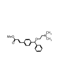 COC(=O)C=Cc1ccc(C(OCCN(C)C)c2ccccc2)cc1